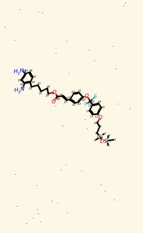 C[Si](C)(C)O[Si](C)(C)CCCOc1ccc(C(F)(F)Oc2ccc(C=CC(=O)OCCCCCc3ccc(N)cc3N)cc2)cc1